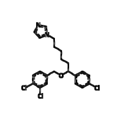 Clc1ccc(C(CCCCCn2ccnc2)OCc2ccc(Cl)c(Cl)c2)cc1